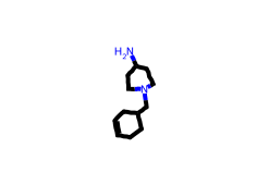 NC1CCN(CC2CC=CCC2)CC1